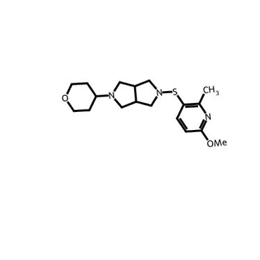 COc1ccc(SN2CC3CN(C4CCOCC4)CC3C2)c(C)n1